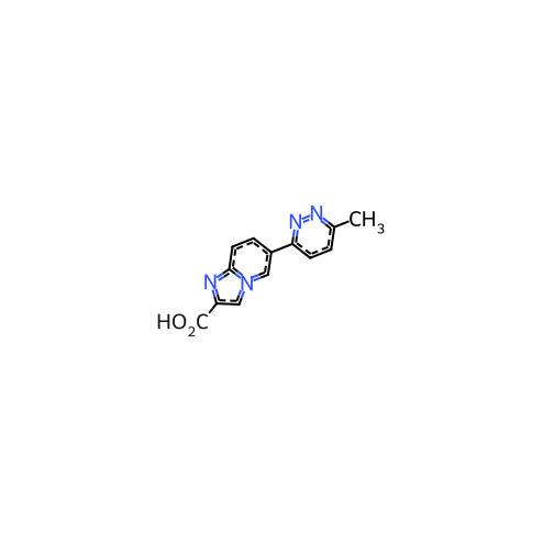 Cc1ccc(-c2ccc3nc(C(=O)O)cn3c2)nn1